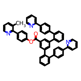 Cc1cccnc1-c1ccc(OC(=O)c2cc(-c3ccccc3-c3ccc(-c4ccccn4)cc3)cc(-c3ccccc3-c3ccc(-c4ccccn4)cc3)c2)cc1